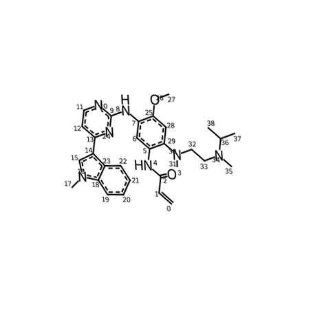 C=CC(=O)Nc1cc(Nc2nccc(-c3cn(C)c4ccccc34)n2)c(OC)cc1N(C)CCN(C)C(C)C